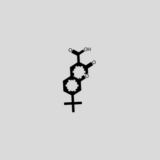 CC(C)(C)c1ccc2cc(C(=O)O)c(=O)oc2c1